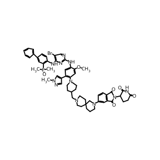 COc1cc(N2CCC(CN3CCC4(CCCN(c5ccc6c(c5)C(=O)N(C5CCC(=O)NC5=O)C6=O)C4)CC3)CC2)c(-c2cnn(C)c2)cc1Nc1ncc(Br)c(Nc2ccc(-c3ccccc3)cc2P(C)(C)=O)n1